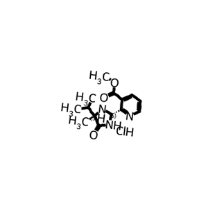 COC(=O)c1cccnc1[C@@H]1NC(=O)[C@](C)(C(C)C)N1.Cl